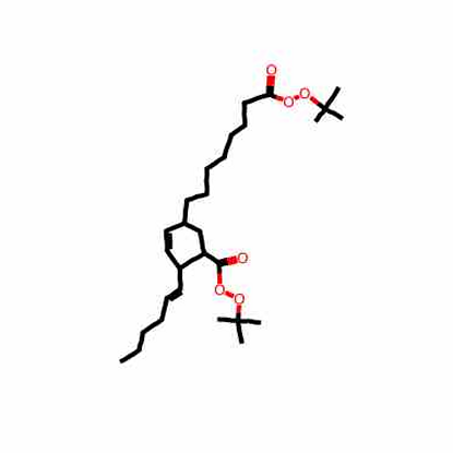 CCCC/C=C/C1C=CC(CCCCCCCC(=O)OOC(C)(C)C)CC1C(=O)OOC(C)(C)C